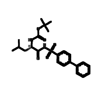 CC(C)C[C@H](NC(=O)OC(C)(C)C)C(=O)NS(=O)(=O)c1ccc(-c2ccccc2)cc1